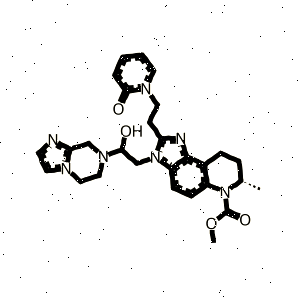 COC(=O)N1c2ccc3c(nc(CCn4ccccc4=O)n3CC(O)N3CCn4ccnc4C3)c2CC[C@@H]1C